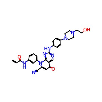 C=CC(=O)Nc1cccc(-n2c(C#N)cc(=O)c3cnc(Nc4ccc(N5CCN(CCO)CC5)cc4)nc32)c1